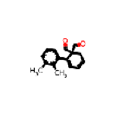 Cc1cccc(C2=CC=CCC2(C=O)C=O)c1C